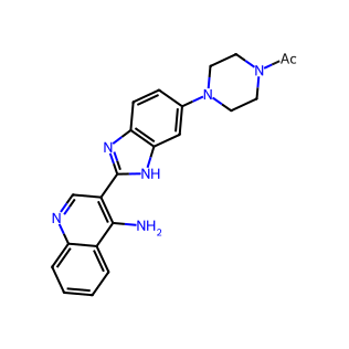 CC(=O)N1CCN(c2ccc3nc(-c4cnc5ccccc5c4N)[nH]c3c2)CC1